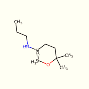 CCCN[SiH]1CCC(C)(C)O[SiH2]1